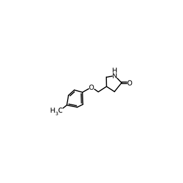 Cc1ccc(OCC2CNC(=O)C2)cc1